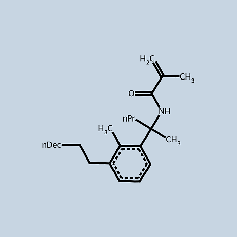 C=C(C)C(=O)NC(C)(CCC)c1cccc(CCCCCCCCCCCC)c1C